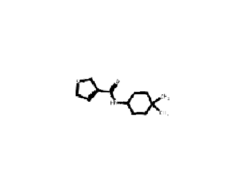 CC1(C)CCC(NC(=O)C2=CCSC2)CC1